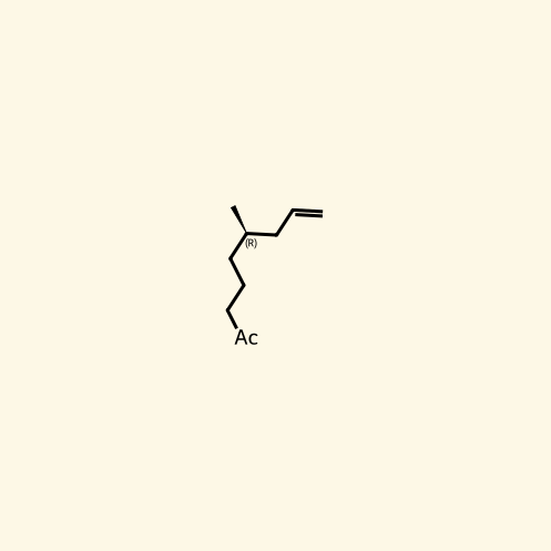 [CH2]C(=O)CCC[C@@H](C)CC=C